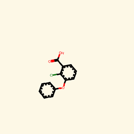 O=C(O)c1cccc(Oc2ccccc2)c1Cl